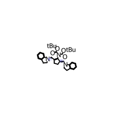 CC(C)(C)OC(=O)N(C(=O)OC(C)(C)C)C1=C(/C=[N+]2\CCc3ccccc32)CC/C1=C\N1CCc2ccccc21